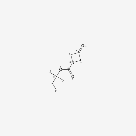 CCC(C)(C)OC(=O)N1CC(=O)C1